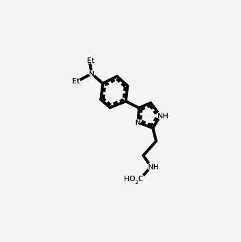 CCN(CC)c1ccc(-c2c[nH]c(CCNC(=O)O)n2)cc1